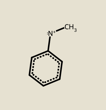 C[N+]c1ccccc1